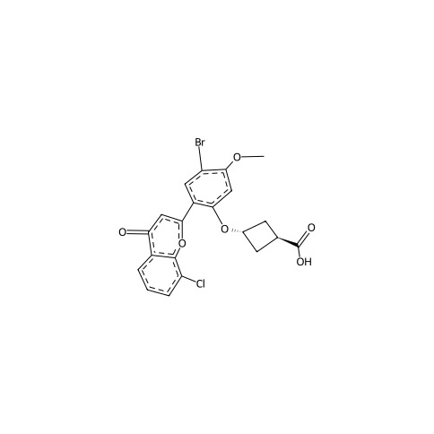 COc1cc(O[C@H]2C[C@H](C(=O)O)C2)c(-c2cc(=O)c3cccc(Cl)c3o2)cc1Br